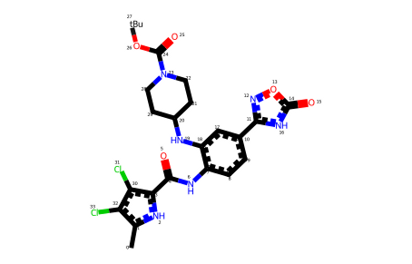 Cc1[nH]c(C(=O)Nc2ccc(-c3noc(=O)[nH]3)cc2NC2CCN(C(=O)OC(C)(C)C)CC2)c(Cl)c1Cl